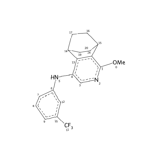 COc1ncc(Nc2cccc(C(F)(F)F)c2)c2c1C1CCC2CC1